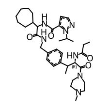 CCC(=O)N[C@@H](C(=O)N1CCN(C)CC1)C(C)c1ccc(CNC(=O)C(NC(=O)c2ccnn2C(C)C)C2CCCCCC2)cc1